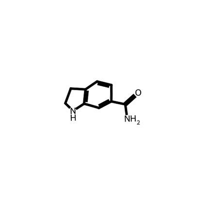 NC(=O)c1ccc2c(c1)NCC2